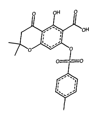 Cc1ccc(S(=O)(=O)Oc2cc3c(c(O)c2C(=O)O)C(=O)CC(C)(C)O3)cc1